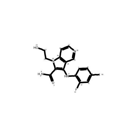 NC(=O)c1c(Nc2ccc(I)cc2F)c2cnccc2n1CCO